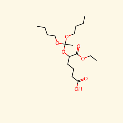 CCCCOC(C)(OCCCC)OC(CCCC(=O)O)C(=O)OCC